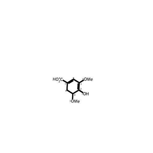 COC1=C(O)C(OC)CC(C(=O)O)=C1